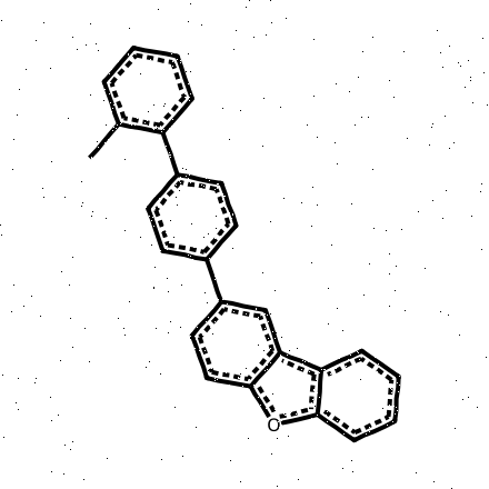 Cc1ccccc1-c1ccc(-c2ccc3oc4ccccc4c3c2)cc1